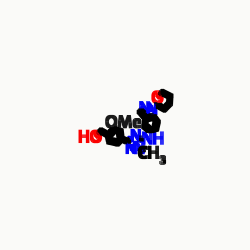 COc1cc(-c2nc(Nc3ccc4c(cnn4C4CCCCO4)c3)n(C)n2)ccc1CO